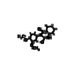 COc1ccc(N2C(=O)Nc3ccccc3[S+]2[O-])cc1OC